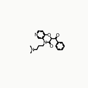 CN(C)CCCN1C(=O)C(C(=O)c2ccccc2)Oc2ccncc21